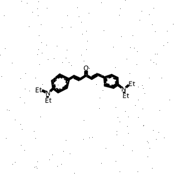 CCN(CC)c1ccc(/C=C/C(=O)/C=C/c2ccc(N(CC)CC)cc2)cc1